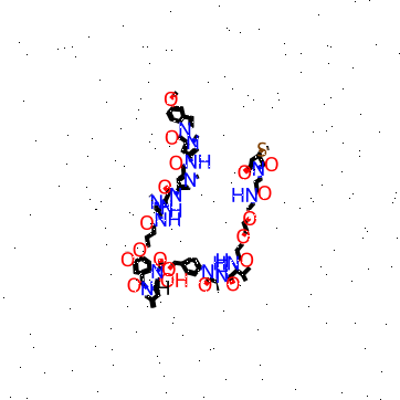 C=C1C[C@H]2C(O)N(C(=O)OCc3ccc(NC(=O)[C@H](C)NC(=O)[C@@H](NC(=O)CCOCCOCCNC(=O)CCN4C(=O)CC(SC)C4=O)C(C)C)cc3)c3cc(OCCCC(=O)Nc4cn(C)c(C(=O)Nc5cc(C(=O)Nc6cc(C(=O)N7C=CC8C=C(OC)C=CC87)n(C)c6)n(C)c5)n4)c(OC)cc3C(=O)N2C1